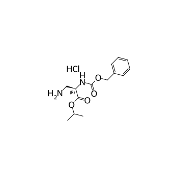 CC(C)OC(=O)[C@@H](CN)NC(=O)OCc1ccccc1.Cl